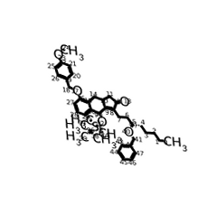 CCCCC[C@@H](CCC1=C2C(CC1=O)Cc1c(OCc3ccc(OC)cc3)cccc1[C@H]2O[Si](C)(C)C(C)(C)C)OCc1ccccc1